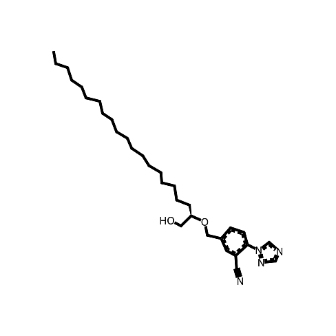 CCCCCCCCCCCCCCCCCCC[C@H](CO)OCc1ccc(-n2cncn2)c(C#N)c1